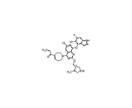 C=CC(=O)C1=CCCN(c2nc(OC[C@H]3C[C@@H](F)CN3C)nc3c(Oc4c(Cl)c(F)cc5[nH]ncc45)nc(Cl)cc23)CC1